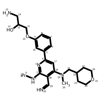 CC(C)Nc1nc(-c2cccc(OCC(O)CN)c2)cc(N(C)CC2CCOCC2)c1C=N